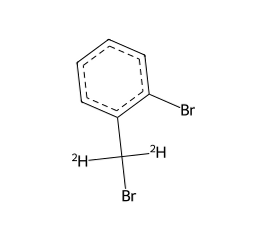 [2H]C([2H])(Br)c1ccccc1Br